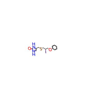 O=c1[nH]cc(CSCC(I)COc2ccccc2)[nH]1